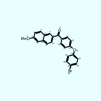 COc1ccc2cc(C(=O)c3ccc(Oc4ccc(Br)cc4)cc3)ccc2c1